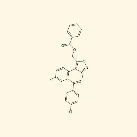 Cc1ccc(-c2c(C)noc2COC(=O)c2ccccc2)c(C(=O)c2ccc(Cl)cc2)c1